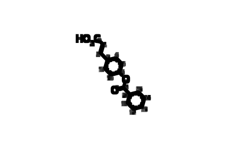 O=C(O)C=Cc1ccc(OC(=O)c2ccccc2)cc1